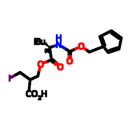 CCC(C)[C@H](NC(=O)OCc1ccccc1)C(=O)OCC(CI)C(=O)O